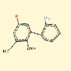 COc1c(C)cc(Br)cc1-c1ccccc1N